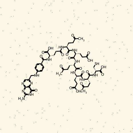 CC(=O)CC[C@H](NC(=O)CC[C@H](NC(=O)c1ccc(NCc2cnc3nc(N)[nH]c(=O)c3n2)cc1)C(=O)O)C(=O)N[C@H](CCC(=O)O)C(=O)N[C@@H](CCC(C)=O)C(=O)N[C@H](CCC(=O)O)C(=O)N[C@@H](CCC(C)=O)C(=O)N[C@H](CS)C(=O)O